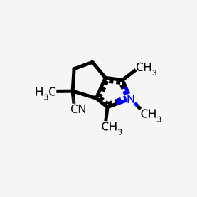 Cc1c2c(c(C)n1C)C(C)(C#N)CC2